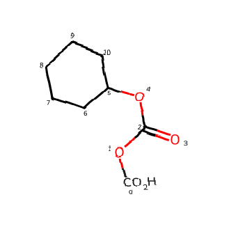 O=C(O)OC(=O)OC1CCCCC1